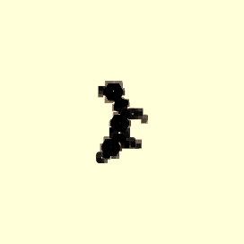 C=C(c1ccc2nc(-c3ccc(Cl)cc3)c(CCCC)nc2c1)N1CC(C2=CCCC(F)=C2)C1